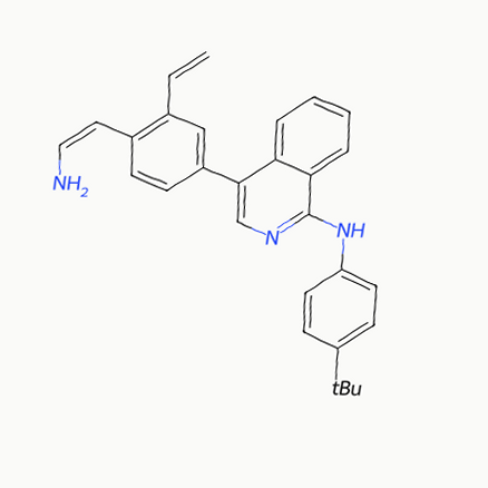 C=Cc1cc(-c2cnc(Nc3ccc(C(C)(C)C)cc3)c3ccccc23)ccc1/C=C\N